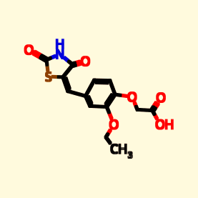 CCOc1cc(C=C2SC(=O)NC2=O)ccc1OCC(=O)O